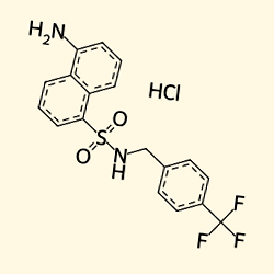 Cl.Nc1cccc2c(S(=O)(=O)NCc3ccc(C(F)(F)F)cc3)cccc12